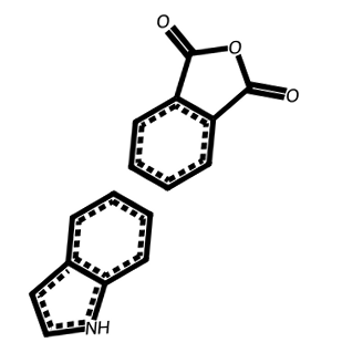 O=C1OC(=O)c2ccccc21.c1ccc2[nH]ccc2c1